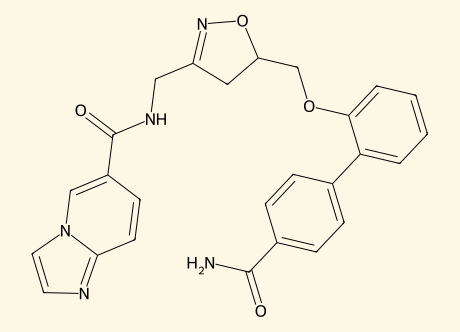 NC(=O)c1ccc(-c2ccccc2OCC2CC(CNC(=O)c3ccc4nccn4c3)=NO2)cc1